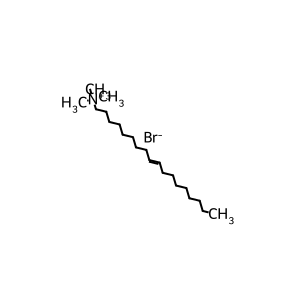 CCCCCCCCC=CCCCCCCCC[N+](C)(C)C.[Br-]